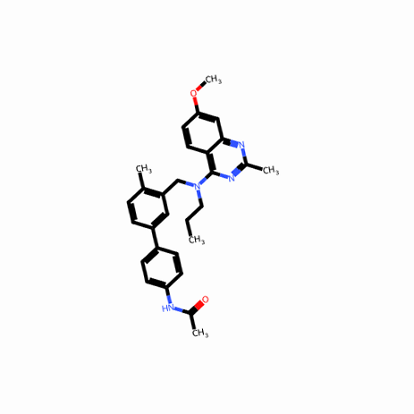 CCCN(Cc1cc(-c2ccc(NC(C)=O)cc2)ccc1C)c1nc(C)nc2cc(OC)ccc12